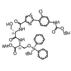 COC(=O)[C@H](CO[Si](c1ccccc1)(c1ccccc1)C(C)(C)C)NC(=O)[C@H](CO)NC(=O)c1csc(-c2ccc(NC(=O)OC(C)(C)C)cc2Cl)n1